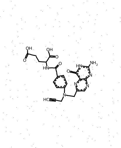 C#CCN(Cc1cnc2nc(N)[nH]c(=O)c2n1)c1ccc(C(=O)NC(CCC(=O)O)C(=O)O)cc1